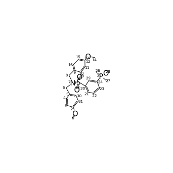 COc1ccc(CN(Cc2ccc(OC)cc2)S(=O)(=O)c2cccc(P(C)(C)=O)c2)cc1